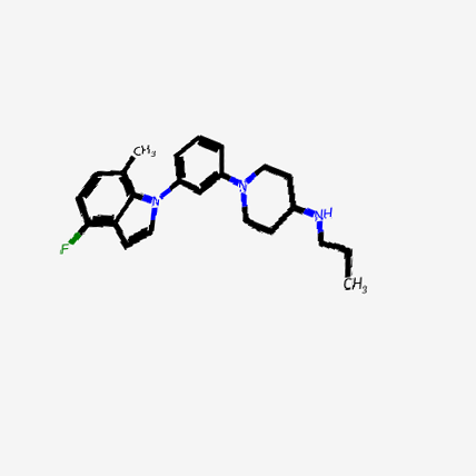 CCCNC1CCN(c2cccc(-n3ccc4c(F)ccc(C)c43)c2)CC1